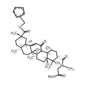 COC(=O)CN(C)C(=O)[C@H]1CC[C@]2(C)C3C(=O)C=C4[C@@H]5C[C@@](C)(C(=O)OCc6ccccc6)CC[C@]5(C)CC[C@@]4(C)[C@]3(C)CC[C@H]2C1(C)C